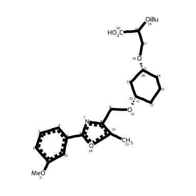 COc1cccc(-c2nc(CO[C@H]3CCC[C@@H](OCC(OCC(C)C)C(=O)O)C3)c(C)o2)c1